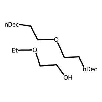 CCCCCCCCCCCCOCCCCCCCCCCCC.CCOCCO